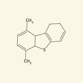 CC1=CC=C(C)C2C3=C(C=CCC3)SC12